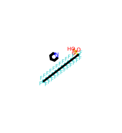 O=S(=O)(O)C(F)(F)C(F)(F)C(F)(F)C(F)(F)C(F)(F)C(F)(F)C(F)(F)C(F)(F)C(F)(F)C(F)(F)C(F)(F)C(F)(F)F.c1ccncc1